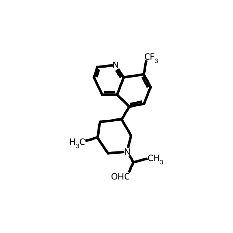 CC1CC(c2ccc(C(F)(F)F)c3ncccc23)CN(C(C)C=O)C1